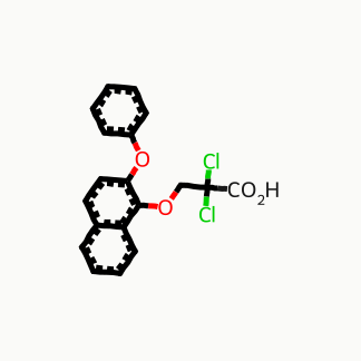 O=C(O)C(Cl)(Cl)COc1c(Oc2ccccc2)ccc2ccccc12